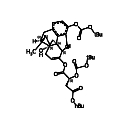 CCCCOC(=O)C[C@H](OC(=O)OC(C)(C)C)C(=O)OC1=CC[C@@]2(O)[C@H]3Cc4ccc(OC(=O)OC(C)(C)C)c5c4[C@@]2(CCN3C)[C@H]1O5